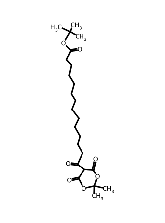 CC(C)(C)OC(=O)CCCCCCCCCCCCC(=O)C1C(=O)OC(C)(C)OC1=O